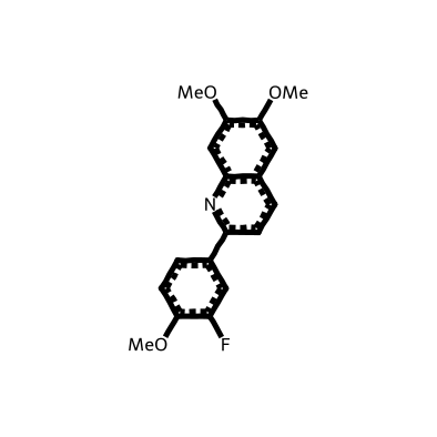 COc1ccc(-c2ccc3cc(OC)c(OC)cc3n2)cc1F